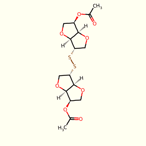 CC(=O)O[C@@H]1CO[C@H]2[C@@H]1OC[C@@H]2SS[C@H]1CO[C@H]2[C@@H]1OC[C@H]2OC(C)=O